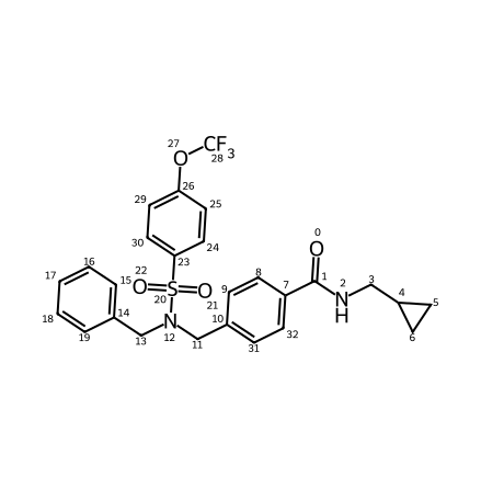 O=C(NCC1CC1)c1ccc(CN(Cc2ccccc2)S(=O)(=O)c2ccc(OC(F)(F)F)cc2)cc1